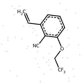 C=[C]c1cccc(OCC(F)(F)F)c1C#N